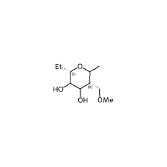 CC[C@@H]1OC(C)[C@H](COC)C(O)C1O